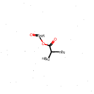 CCCCC(CCCC)C(=O)[O][SnH]=[O]